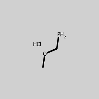 COCP.Cl